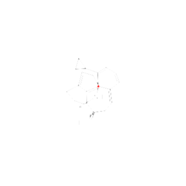 C=C1CC=c2cccc(C3CC3)c2=C(/C2=C\CCN[C@H](C)CC2)C1